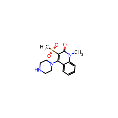 Cn1c(=O)c(S(C)(=O)=O)c(N2CCNCC2)c2ccccc21